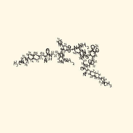 CN1CCN(c2ccc3cc(/C=C(\C#N)C(=O)NCCCn4c(Sc5cc6c(cc5-c5ccco5)OCO6)nc5c(N)nc(C6Oc7cc(Sc8nc9c(N)nccc9n8CCCNC(=O)/C(C#N)=C/c8ccc9cc(N%10CCN(C)CC%10)ccc9c8)c(-c8nccs8)cc7O6)cc54)ccc3c2)CC1